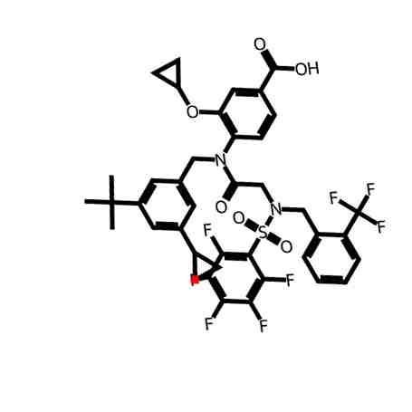 CC(C)(C)c1cc(CN(C(=O)CN(Cc2ccccc2C(F)(F)F)S(=O)(=O)c2c(F)c(F)c(F)c(F)c2F)c2ccc(C(=O)O)cc2OC2CC2)cc(C2CC2)c1